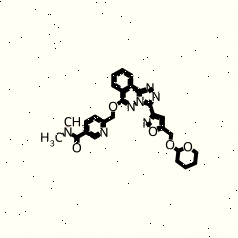 CN(C)C(=O)c1ccc(COc2nn3c(-c4cc(COC5CCCCO5)on4)nnc3c3ccccc23)nc1